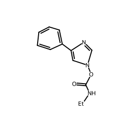 CCNC(=O)On1cnc(-c2ccccc2)c1